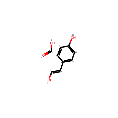 O=CO.OC=Cc1ccc(O)cc1